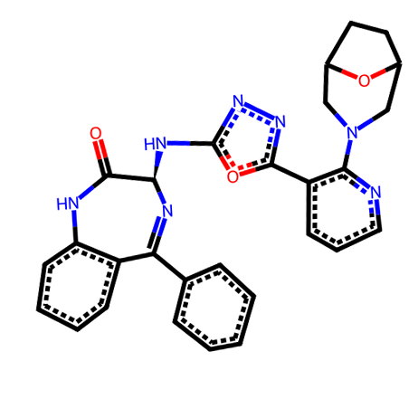 O=C1Nc2ccccc2C(c2ccccc2)=N[C@@H]1Nc1nnc(-c2cccnc2N2CC3CCC(C2)O3)o1